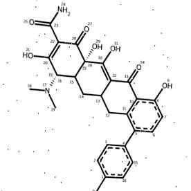 Cc1ccc(-c2ccc(O)c3c2CC2CC4[C@H](N(C)C)C(O)=C(C(N)=O)C(=O)[C@@]4(O)C(O)=C2C3=O)cc1